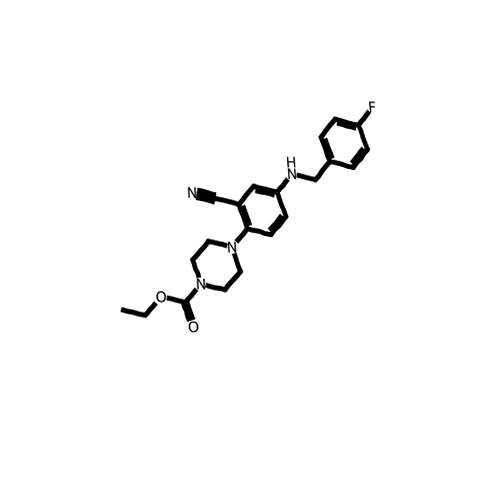 CCOC(=O)N1CCN(c2ccc(NCc3ccc(F)cc3)cc2C#N)CC1